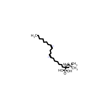 CCCCCCC/C=C\CC/C=C\CCCCCCC(O)(C[N+](C)(C)C)P(=O)(O)O